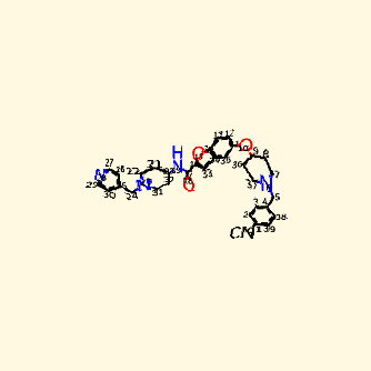 [C-]#[N+]c1ccc(CN2CCC(Oc3ccc4oc(C(=O)NC5CCN(Cc6ccncc6)CC5)cc4c3)CC2)cc1